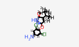 [2H]C([2H])([2H])C(c1cc(Oc2c(Cl)cc(N)cc2Cl)n[nH]c1=O)C([2H])([2H])[2H]